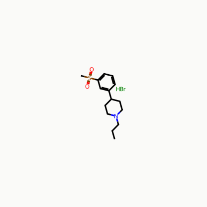 Br.CCCN1CCC(c2cccc(S(C)(=O)=O)c2)CC1